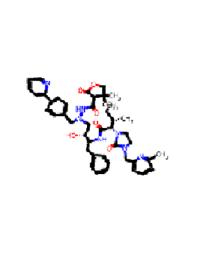 CC[C@H](C)[C@@H](C(=O)N[C@@H](Cc1ccccc1)[C@H](O)CN(Cc1ccc(-c2ccccn2)cc1)NC(=O)C1C(=O)OCC1(C)C)N1CCN(Cc2cccc(C)n2)C1=O